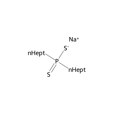 CCCCCCCP(=S)([S-])CCCCCCC.[Na+]